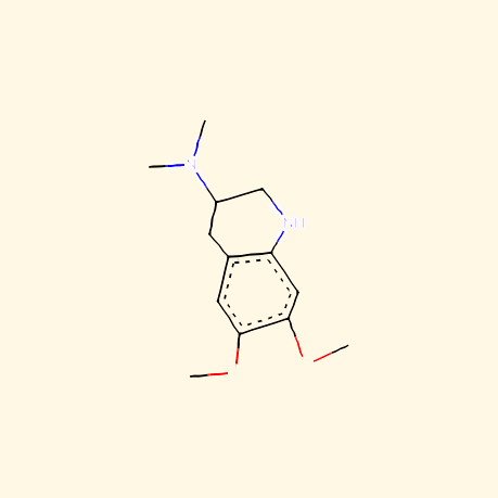 COc1cc2c(cc1OC)NCC(N(C)C)C2